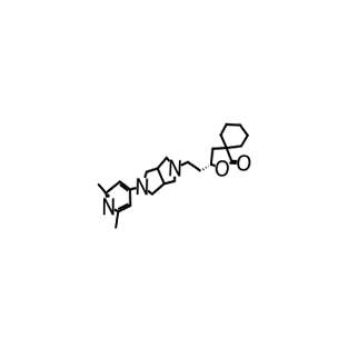 Cc1cc(N2CC3CN(CC[C@@H]4CC5(CCCCC5)C(=O)O4)CC3C2)cc(C)n1